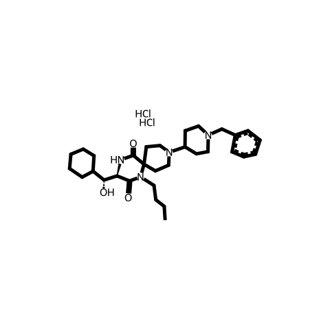 CCCCN1C(=O)[C@@H]([C@H](O)C2CCCCC2)NC(=O)C12CCN(C1CCN(Cc3ccccc3)CC1)CC2.Cl.Cl